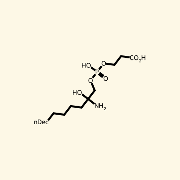 CCCCCCCCCCCCCCC(N)(O)COP(=O)(O)OCCC(=O)O